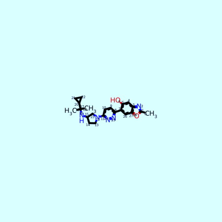 Cc1nc2cc(O)c(-c3ccc(N4CCC(NC(C)(C)C5CC5)C4)nn3)cc2o1